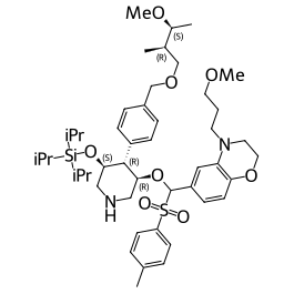 COCCCN1CCOc2ccc(C(O[C@H]3CNC[C@@H](O[Si](C(C)C)(C(C)C)C(C)C)[C@@H]3c3ccc(COC[C@@H](C)[C@H](C)OC)cc3)S(=O)(=O)c3ccc(C)cc3)cc21